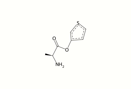 C[C@H](N)C(=O)Oc1ccsc1